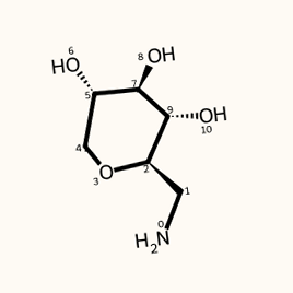 NC[C@H]1O[CH][C@H](O)[C@@H](O)[C@@H]1O